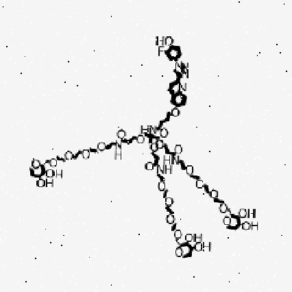 O=C(CCOCC(COCCC(=O)NCCOCCOCCOCCOC[C@H]1OCC[C@@H](O)[C@H]1O)(COCCC(=O)NCCOCCOCCOCCOC[C@H]1OCC[C@@H](O)[C@H]1O)NC(=O)CCCOc1ccc2nc(-c3cn(-c4ccc(O)c(F)c4)nn3)ccc2c1)NCCOCCOCCOCCOC[C@H]1OCC[C@@H](O)[C@H]1O